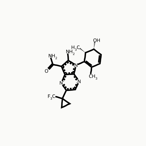 CC1=C(n2c(N)c(C(N)=O)c3nc(C4(C(F)(F)F)CC4)cnc32)[C@H](C)[C@H](O)C=C1